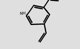 C=Cc1cccc(C=C)c1.N